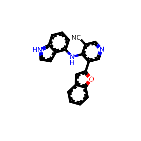 N#Cc1cncc(-c2cc3ccccc3o2)c1Nc1cccc2[nH]ccc12